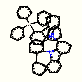 c1ccc(-c2cccc(-c3ccccc3)c2-n2c3ccccc3c3cccc(-n4c5ccccc5c5c([Si](c6ccccc6)(c6ccccc6)c6ccccc6)cccc54)c32)cc1